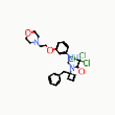 O=C(N(CNc1cccc(OCCN2CCOCC2)c1)C1(Cc2ccccc2)C=CC1)C(Cl)(Cl)Cl